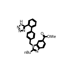 CCCCc1nc2ccc(C(=O)OC)cc2n1Cc1ccc(-c2ccccc2-c2nnn[nH]2)cc1